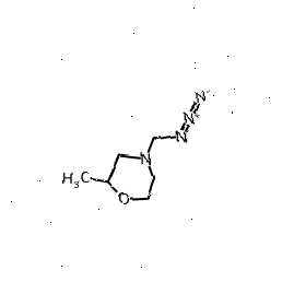 CC1CN(CN=[N+]=[N-])CCO1